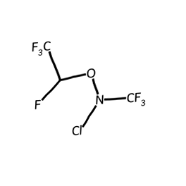 FC(ON(Cl)C(F)(F)F)C(F)(F)F